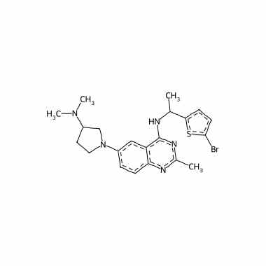 Cc1nc(NC(C)c2ccc(Br)s2)c2cc(N3CCC(N(C)C)C3)ccc2n1